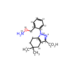 CC1(C)CCc2c(c(C(=O)O)nn2-c2ccccc2CON)C1